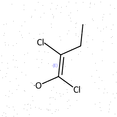 CC/C(Cl)=C(/[O])Cl